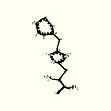 CC(N)C(N)Cc1nc(Cc2ccccc2)ns1